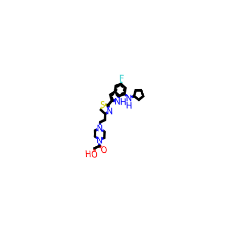 O=C(CO)N1CCN(CCC2CSC(c3cc4cc(F)cc(NC5CCCC5)c4[nH]3)=N2)CC1